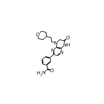 NC(=O)c1cccc(-c2cnc3c(n2)N(CCC2CCOCC2)CC(=O)N3)c1